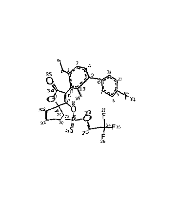 CCc1ccc(-c2ccc(F)cc2)c(C)c1C1=C(OP(C)(=S)OCC(F)(F)F)C2(CCCC2)OC1=O